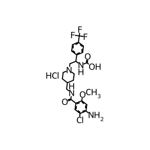 COc1cc(N)c(Cl)cc1C(=O)NCC1CCN(CC(NC(=O)O)c2ccc(C(F)(F)F)cc2)CC1.Cl